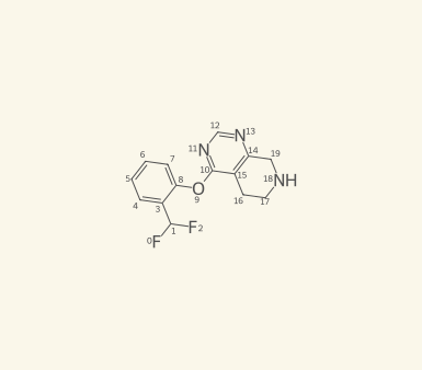 FC(F)c1ccccc1Oc1ncnc2c1CCNC2